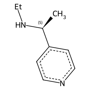 CCN[C@@H](C)c1ccncc1